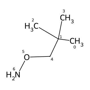 CC(C)(C)CON